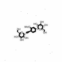 COc1cc([C@H]2O[C@H](CO)[C@@H](O)[C@H](O)[C@@H]2O)ccc1C#C[C@H]1O[C@H](CO)[C@@H](O)[C@H](O)[C@@H]1O